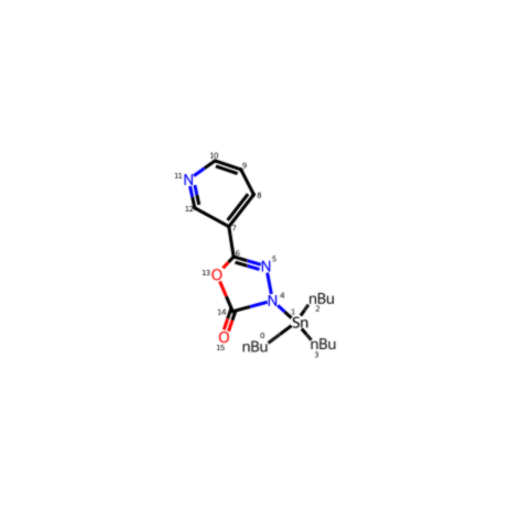 CCC[CH2][Sn]([CH2]CCC)([CH2]CCC)[n]1nc(-c2cccnc2)oc1=O